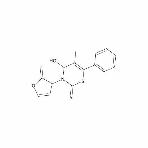 C=C1OC=CC1N1C(=S)SC(c2ccccc2)=C(C)C1O